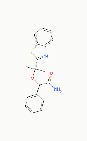 CC(C)(OC(C(N)=O)c1ccccc1)c1nc2ccccc2s1